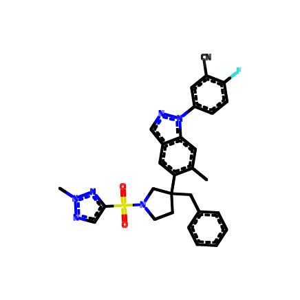 Cc1cc2c(cnn2-c2ccc(F)c(C#N)c2)cc1C1(Cc2ccccc2)CCN(S(=O)(=O)c2cnn(C)n2)C1